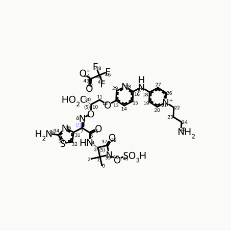 CC1(C)[C@H](NC(=O)/C(=N\O[C@@H](COc2ccc(Nc3cc[n+](CCCN)cc3)nc2)C(=O)O)c2csc(N)n2)C(=O)N1OS(=O)(=O)O.O=C([O-])C(F)(F)F